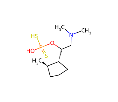 C[C@@H]1CCC[C@H]1C(CN(C)C)OP(O)(=S)S